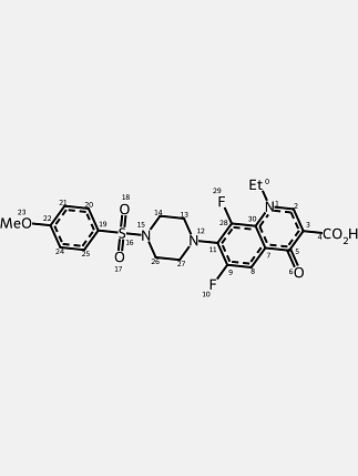 CCn1cc(C(=O)O)c(=O)c2cc(F)c(N3CCN(S(=O)(=O)c4ccc(OC)cc4)CC3)c(F)c21